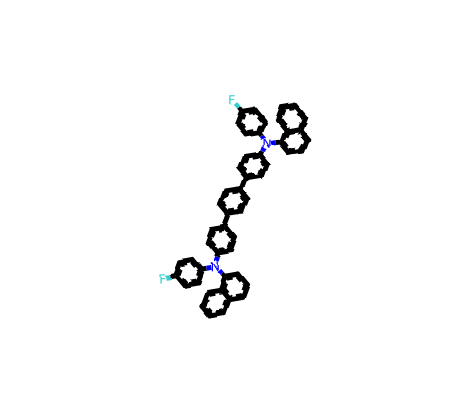 Fc1ccc(N(c2ccc(-c3ccc(-c4ccc(N(c5ccc(F)cc5)c5cccc6ccccc56)cc4)cc3)cc2)c2cccc3ccccc23)cc1